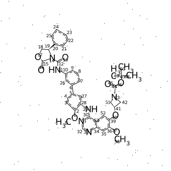 COc1ccc(-c2cccc(NC(=O)N3C(=O)OC[C@H]3c3ccccc3)c2)cc1Nc1ncnc2cc(OC)c(OC3CN(C(=O)OC(C)(C)C)C3)cc12